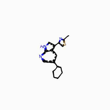 Cc1nc(-c2c[nH]c3ncc(C4CCCCC4)cc23)cs1